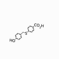 O=C(O)c1ccc(SCc2ccc(O)cc2)cc1